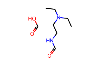 CCN(CC)CCNC=O.O=CO